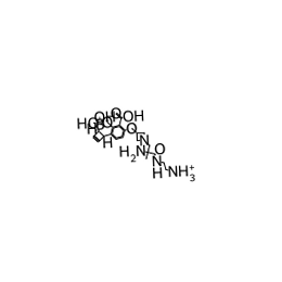 CC(N)(CN1CC(Oc2ccc3c(c2C(=O)O)O[B-](O)(O)[C@@H]2C#C[C@H]32)C1)C(=O)NCC[NH3+]